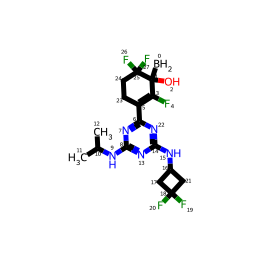 BC1(O)C(F)=C(c2nc(NC(C)C)nc(NC3CC(F)(F)C3)n2)CCC1(F)F